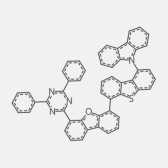 c1ccc(-c2nc(-c3ccccc3)nc(-c3cccc4c3oc3c(-c5cccc6c5sc5cccc(-n7c8ccccc8c8ccccc87)c56)cccc34)n2)cc1